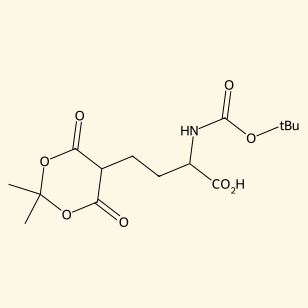 CC(C)(C)OC(=O)NC(CCC1C(=O)OC(C)(C)OC1=O)C(=O)O